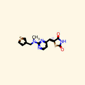 CN(Cc1ccsc1)c1nccc(/C=C2\SC(=O)NC2=O)n1